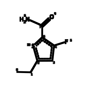 CCc1cc(F)c(C(N)=O)s1